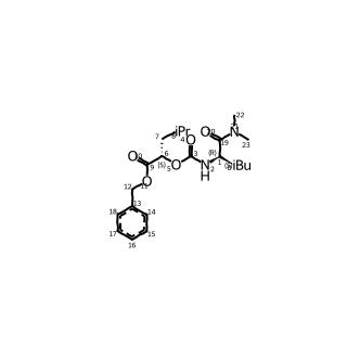 CC[C@H](C)[C@@H](NC(=O)O[C@@H](CC(C)C)C(=O)OCc1ccccc1)C(=O)N(C)C